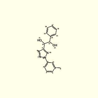 Cc1cccc(-n2nnc(C(O)C(O)c3ccccc3)n2)c1